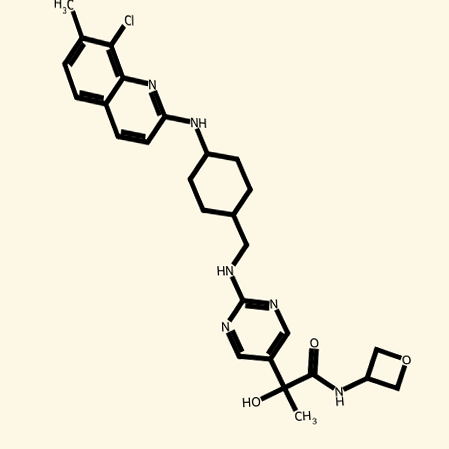 Cc1ccc2ccc(NC3CCC(CNc4ncc(C(C)(O)C(=O)NC5COC5)cn4)CC3)nc2c1Cl